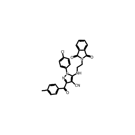 Cc1ccc(C(=O)c2nn(-c3ccc(Cl)cc3)c(NCCN3C(=O)c4ccccc4C3=O)c2C#N)cc1